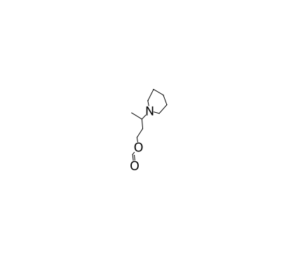 CC(CCOC=O)N1CCCCC1